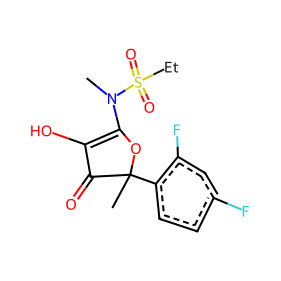 CCS(=O)(=O)N(C)C1=C(O)C(=O)C(C)(c2ccc(F)cc2F)O1